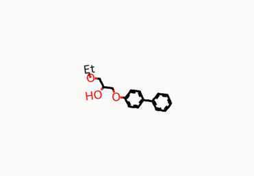 CCOCC(O)COc1ccc(-c2ccccc2)cc1